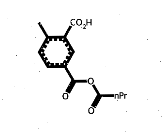 CCCC(=O)OC(=O)c1ccc(C)c(C(=O)O)c1